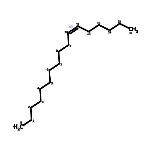 [CH2]CCCCCCCCC/C=C\CCCCC